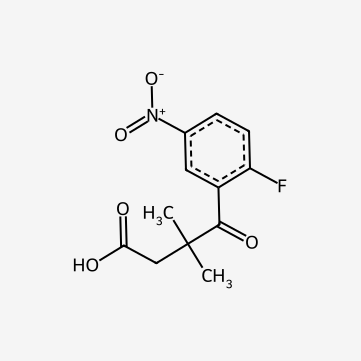 CC(C)(CC(=O)O)C(=O)c1cc([N+](=O)[O-])ccc1F